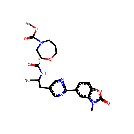 Cn1c(=O)oc2ccc(-c3ncc(CC(C#N)NC(=O)[C@@H]4CN(C(=O)OC(C)(C)C)CCCO4)cn3)cc21